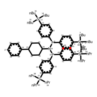 CCCC[Si](CCCC)(CCCC)c1ccc(P(c2ccc([Si](CCCC)(CCCC)CCCC)cc2)N(C2CCC(c3ccccc3)CC2)P(c2ccc([Si](CCC)(CCC)CCC)cc2)c2ccc([Si](CCC)(CCC)CCC)cc2)cc1